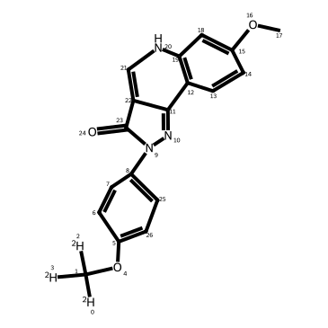 [2H]C([2H])([2H])Oc1ccc(-n2nc3c4ccc(OC)cc4[nH]cc-3c2=O)cc1